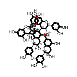 Oc1cc(O)c2c(c1)O[C@H](c1ccc(O)c(O)c1)[C@H](O)[C@H]2c1c(O)c2c(c3c1O[C@]1(c4ccc(O)c(O)c4)Oc4cc(O)cc(O)c4[C@H]3[C@H]1O)O[C@H](c1ccc(O)c(O)c1)[C@H](O)[C@H]2c1c(O)cc(O)c2c1O[C@H](c1ccc(O)c(O)c1)[C@@H](O)C2